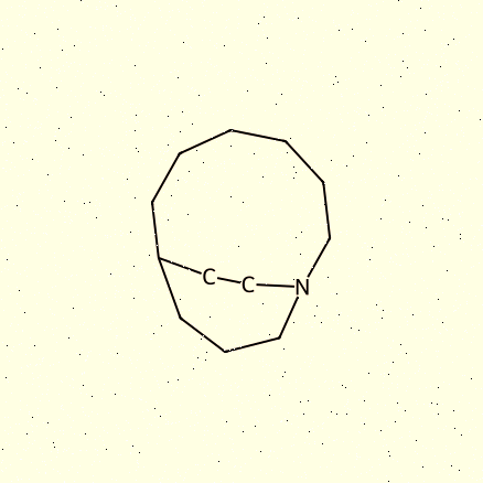 C1CCCN2CCCC(CC1)CC2